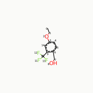 CCOc1ccc(CO)c(C(F)(F)F)c1